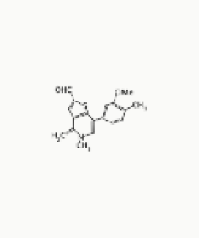 C=C1c2cc(C=O)sc2C(c2ccc(C)c(OC)c2)=CN1C